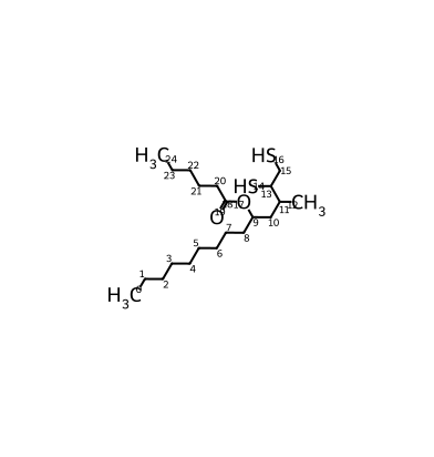 CCCCCCCCCC(CC(C)C(S)CS)OC(=O)CCCCC